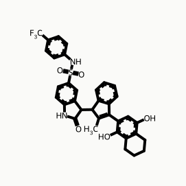 CC1=C(c2cc(O)c3c(c2O)CCCC3)c2ccccc2C1C1C(=O)Nc2ccc(S(=O)(=O)Nc3ccc(C(F)(F)F)cc3)cc21